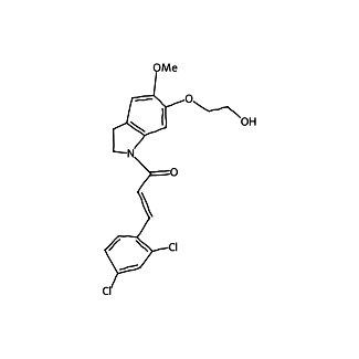 COc1cc2c(cc1OCCO)N(C(=O)C=Cc1ccc(Cl)cc1Cl)CC2